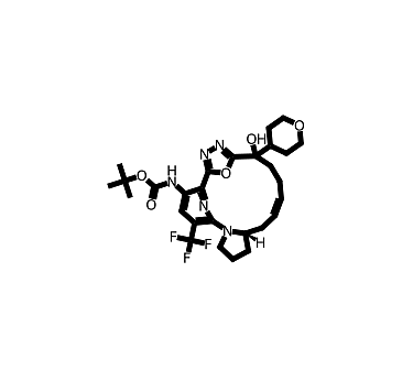 CC(C)(C)OC(=O)Nc1cc(C(F)(F)F)c2nc1-c1nnc(o1)C(O)(C1CCOCC1)CCC=CC[C@@H]1CCCN21